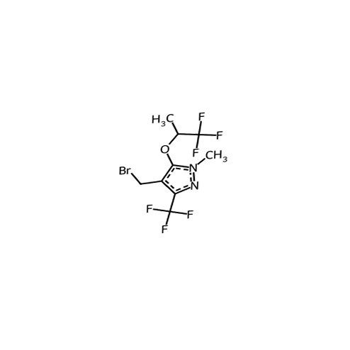 CC(Oc1c(CBr)c(C(F)(F)F)nn1C)C(F)(F)F